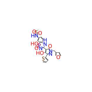 CS(=O)(=O)Nc1ccc2c(c1)P(=O)(O)N=C(c1c(O)c(-c3cccs3)nn(Cc3ccoc3)c1=O)N2